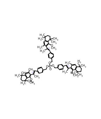 COc1c(/C(C)=C/c2ccc(COP(=O)(OCc3ccc(/C=C(\C)c4c(C)cc5c(c4OC)C(C)(C)CCC5(C)C)cc3)OCc3ccc(/C=C(\C)c4c(C)cc5c(c4OC)C(C)(C)CCC5(C)C)cc3)cc2)c(C)cc2c1C(C)(C)CCC2(C)C